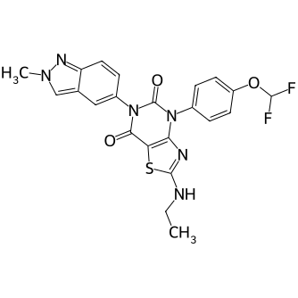 CCNc1nc2c(s1)c(=O)n(-c1ccc3nn(C)cc3c1)c(=O)n2-c1ccc(OC(F)F)cc1